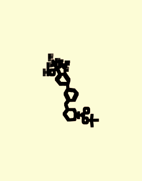 CC(C)(C)OC(=O)N1CCCC(Cc2cccc(-c3ccc(C(O)(C(F)(F)F)C(F)(F)F)cc3)c2)C1